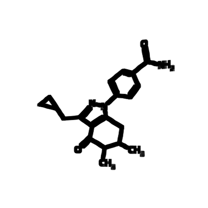 CC1Cc2c(c(CC3CC3)nn2-c2ccc(C(N)=O)cc2)C(=O)C1C